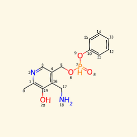 Cc1ncc(CO[PH](=O)Oc2ccccc2)c(CN)c1O